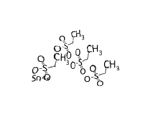 CCS(=O)(=O)[O-].CCS(=O)(=O)[O-].CCS(=O)(=O)[O-].CCS(=O)(=O)[O-].[Sn+4]